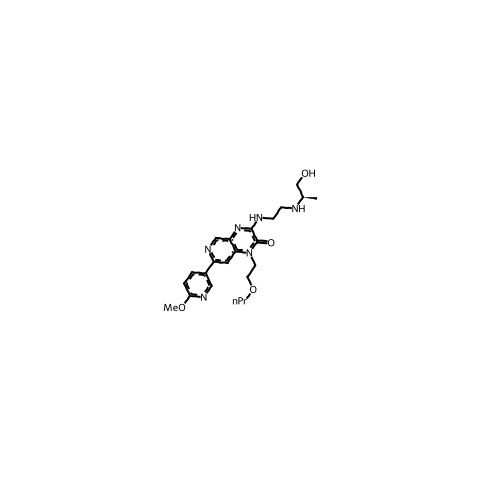 CCCOCCn1c(=O)c(NCCN[C@H](C)CO)nc2cnc(-c3ccc(OC)nc3)cc21